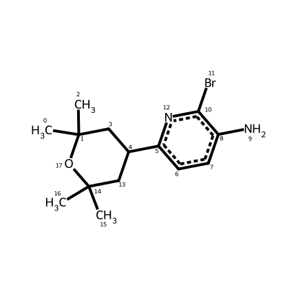 CC1(C)CC(c2ccc(N)c(Br)n2)CC(C)(C)O1